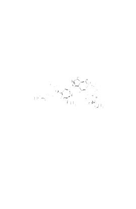 Cc1nc(N2CCOC(CO)C2)cc(-n2ncc3cc(C)c([C@H]4CCN(C)C[C@H]4F)cc32)n1